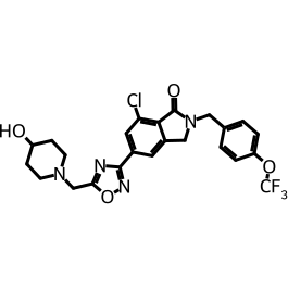 O=C1c2c(Cl)cc(-c3noc(CN4CCC(O)CC4)n3)cc2CN1Cc1ccc(OC(F)(F)F)cc1